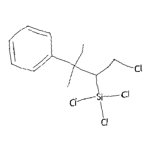 CC(C)(c1ccccc1)C(CCl)[Si](Cl)(Cl)Cl